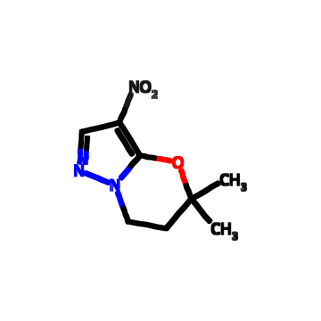 CC1(C)CCn2ncc([N+](=O)[O-])c2O1